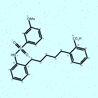 COc1cccc(S(=O)(=O)Nc2ccccc2CCCCCc2ccccc2C(=O)O)c1